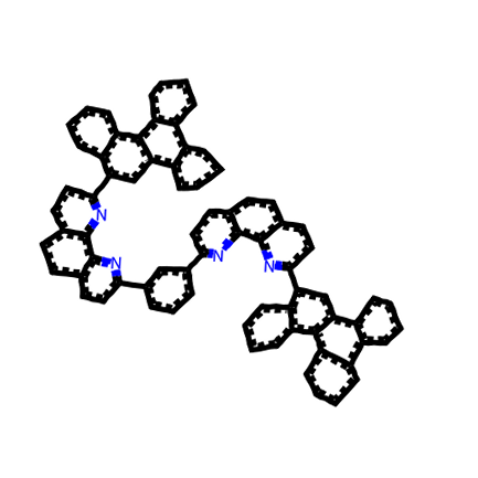 c1cc(-c2ccc3ccc4ccc(-c5cc6c7ccccc7c7ccccc7c6c6ccccc56)nc4c3n2)cc(-c2ccc3ccc4ccc(-c5cc6c7ccccc7c7ccccc7c6c6ccccc56)nc4c3n2)c1